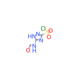 O=CNc1nc(S(=O)(=O)Cl)n[nH]1